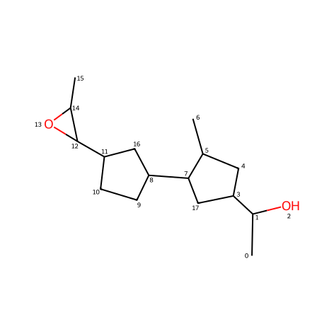 CC(O)C1CC(C)C(C2CCC(C3OC3C)C2)C1